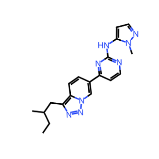 CCC(C)Cc1nnn2cc(-c3ccnc(Nc4ccnn4C)n3)ccc12